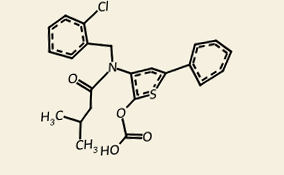 CC(C)CC(=O)N(Cc1ccccc1Cl)c1cc(-c2ccccc2)sc1OC(=O)O